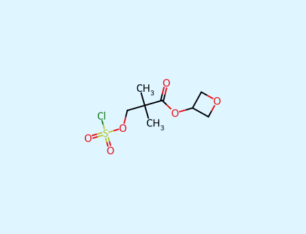 CC(C)(COS(=O)(=O)Cl)C(=O)OC1COC1